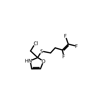 FC(F)=C(F)CCSC1(CCl)NC=CO1